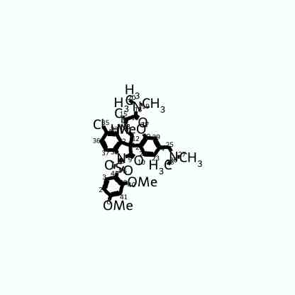 COc1ccc(S(=O)(=O)N2C(=O)C(CN[C@@H](C)C(=O)N(C)C)(c3ccc(CN(C)C)cc3OC)c3cc(Cl)ccc32)c(OC)c1